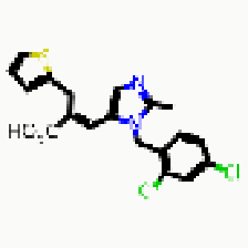 Cc1ncc(C=C(Cc2cccs2)C(=O)O)n1Cc1ccc(Cl)cc1Cl